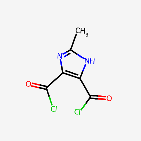 Cc1nc(C(=O)Cl)c(C(=O)Cl)[nH]1